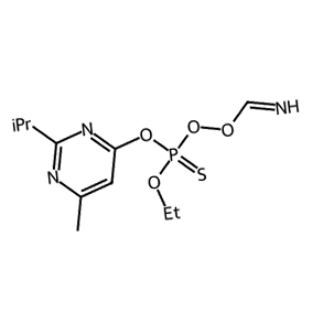 CCOP(=S)(OOC=N)Oc1cc(C)nc(C(C)C)n1